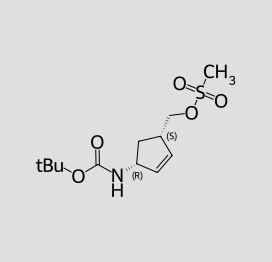 CC(C)(C)OC(=O)N[C@H]1C=C[C@@H](COS(C)(=O)=O)C1